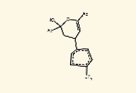 CC(=O)C1=CC(c2ccc(C(F)(F)F)cc2)CC(O)(C(C)=O)O1